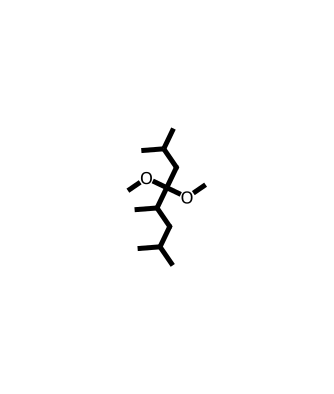 COC(CC(C)C)(OC)C(C)CC(C)C